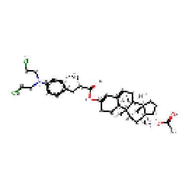 CCC(=O)O[C@H]1CC[C@H]2[C@@H]3CC=C4C=C(OC(=O)[C@H](Cc5ccc(N(CCCl)CCCl)cc5)NC(C)=O)CC[C@]4(C)[C@H]3CC[C@]12C